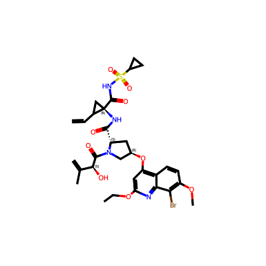 C=CC1C[C@]1(NC(=O)[C@@H]1C[C@@H](Oc2cc(OCC)nc3c(Br)c(OC)ccc23)CN1C(=O)[C@@H](O)C(=C)C)C(=O)NS(=O)(=O)C1CC1